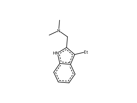 CCc1c(CN(C)C)[nH]c2ccccc12